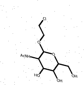 CC(=O)NC1C(OCCCl)OC(CO)C(O)C1O